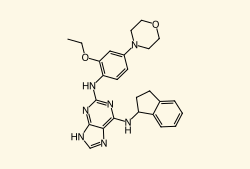 CCOc1cc(N2CCOCC2)ccc1Nc1nc(NC2CCc3ccccc32)c2nc[nH]c2n1